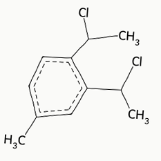 Cc1ccc(C(C)Cl)c(C(C)Cl)c1